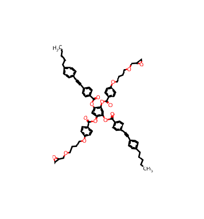 CCCCCc1ccc(C#Cc2ccc(C(=O)Oc3cc(OC(=O)c4ccc(OCCCCOCC5CO5)cc4)c(OC(=O)c4ccc(C#Cc5ccc(CCCCC)cc5)cc4)cc3OC(=O)c3ccc(OCCCCOCC4CO4)cc3)cc2)cc1